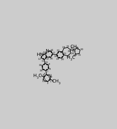 Cc1cnc(C)c(-c2ccc(-c3c[nH]c4ncc(-c5ccc6c(c5)CC[C@@](C)(N5CCC[C@H]5C)CC6)cc34)cc2)n1